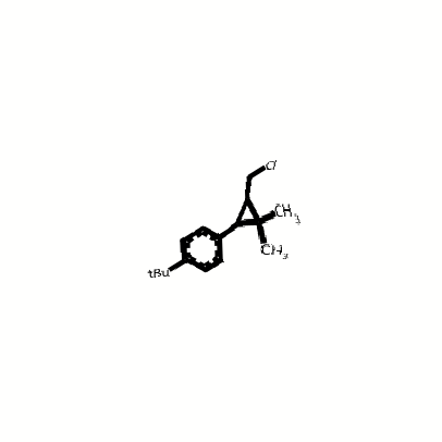 CC(C)(C)c1ccc(C2C(CCl)C2(C)C)cc1